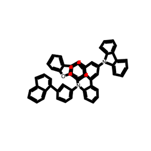 c1cc(-c2cccc3ccccc23)cc(N(c2ccccc2-c2cc(-n3c4ccccc4c4ccccc43)cc3ccccc23)c2cccc3c2oc2ccccc23)c1